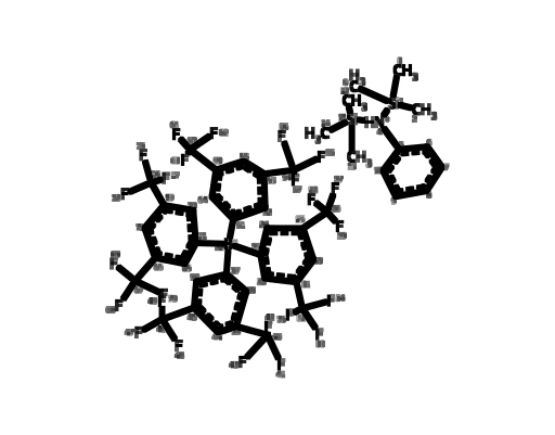 C[Si](C)(C)[NH+](c1ccccc1)[Si](C)(C)C.FC(F)(F)c1cc([B-](c2cc(C(F)(F)F)cc(C(F)(F)F)c2)(c2cc(C(F)(F)F)cc(C(F)(F)F)c2)c2cc(C(F)(F)F)cc(C(F)(F)F)c2)cc(C(F)(F)F)c1